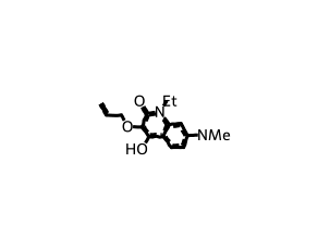 C=CCOc1c(O)c2ccc(NC)cc2n(CC)c1=O